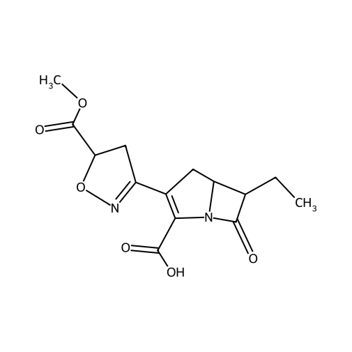 CCC1C(=O)N2C(C(=O)O)=C(C3=NOC(C(=O)OC)C3)CC12